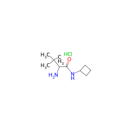 CC(C)(C)C(N)C(=O)NC1CCC1.Cl